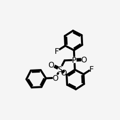 O=P(CS(=O)(=O)Oc1ccccc1)(c1ccccc1F)c1ccccc1F